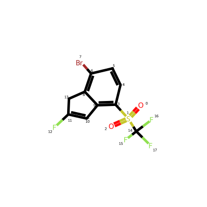 O=S(=O)(c1ccc(Br)c2c1[C]=C(F)C2)C(F)(F)F